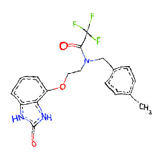 Cc1ccc(CN(CCOc2cccc3[nH]c(=O)[nH]c23)C(=O)C(F)(F)F)cc1